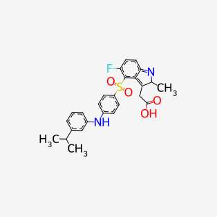 CC1N=c2ccc(F)c(S(=O)(=O)c3ccc(Nc4cccc(C(C)C)c4)cc3)c2=C1CC(=O)O